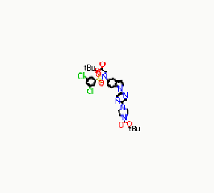 CC(C)(C)OC(=O)CN(c1ccc2c(ccn2-c2cnc(N3CCN(C(=O)OC(C)(C)C)CC3)cn2)c1)S(=O)(=O)c1cc(Cl)cc(Cl)c1